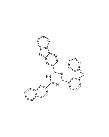 c1ccc2cc(C3=NC(c4cccc5oc6ccccc6c45)NC(c4ccc5c(c4)sc4ccccc45)N3)ccc2c1